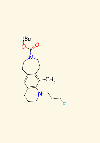 Cc1c2c(cc3c1N(CCCF)CCC3)CCN(C(=O)OC(C)(C)C)CC2